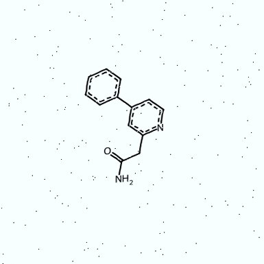 NC(=O)Cc1cc(-c2ccccc2)ccn1